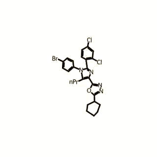 CCCc1c(-c2nnc(C3CCCCC3)o2)nc(-c2ccc(Cl)cc2Cl)n1-c1ccc(Br)cc1